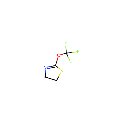 FC(F)(F)OC1=N[C]CS1